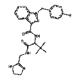 CC(C)(C)C(NC(=O)c1nn(Cc2ccc(F)cc2)c2ccccc12)C(=O)NCC1=NCCN1